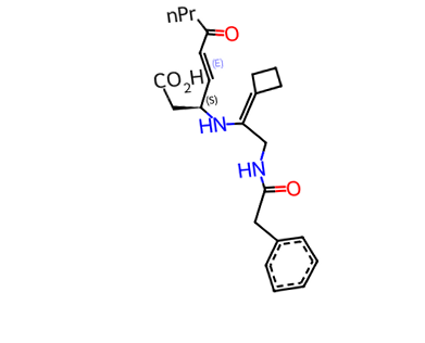 CCCC(=O)/C=C/[C@H](CC(=O)O)NC(CNC(=O)Cc1ccccc1)=C1CCC1